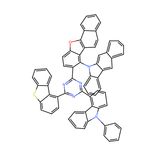 c1ccc(-n2c3ccccc3c3c(-c4nc(-c5ccc6oc7c8ccccc8ccc7c6c5-n5c6ccccc6c6cc7ccccc7cc65)nc(-c5cccc6sc7ccccc7c56)n4)cccc32)cc1